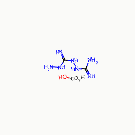 N=C(N)NNC(=N)NN.O=C(O)O